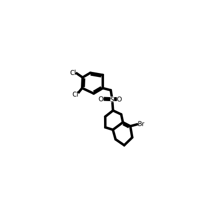 O=S(=O)(Cc1ccc(Cl)c(Cl)c1)C1CCC2CCCC(Br)=C2C1